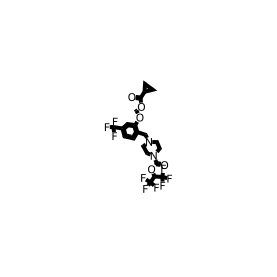 O=C(OCOc1cc(C(F)(F)F)ccc1CN1CCN(C(=O)OC(C(F)(F)F)C(F)(F)F)CC1)C1CC1